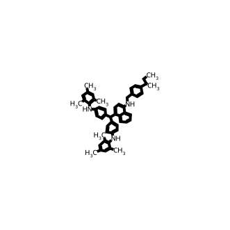 CCC(C)c1ccc(CNc2ccc(C(c3ccc(Nc4c(C)cc(C)cc4C)cc3)c3ccc(Nc4c(C)cc(C)cc4C)cc3)c3ccccc23)cc1